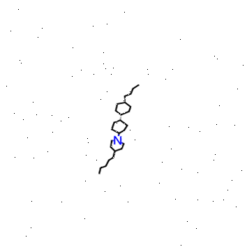 CCCCCC1CCN(C2CCC([C@H]3CC[C@H](CCCC)CC3)CC2)CC1